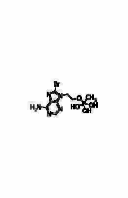 CP(O)(O)(O)OCCn1c(Br)nc2c(N)ncnc21